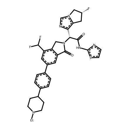 CCN1CCC(c2ccc(-c3cc4c(c(C(F)F)c3)CN([C@@H](C(=O)Nc3nccs3)c3ncn5c3C[C@@H](F)C5)C4=O)cc2)CC1